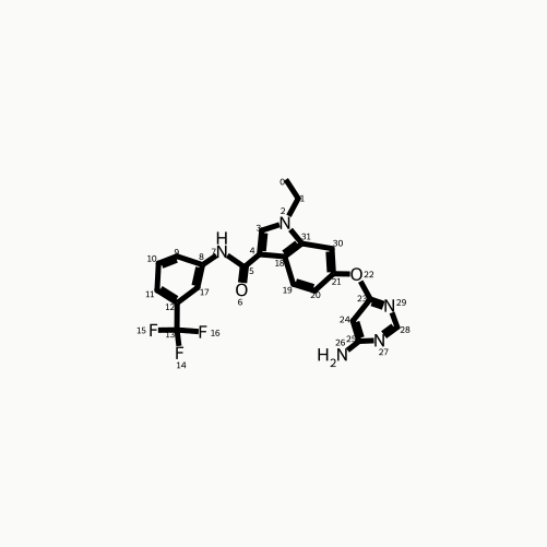 CCn1cc(C(=O)Nc2cccc(C(F)(F)F)c2)c2ccc(Oc3cc(N)ncn3)cc21